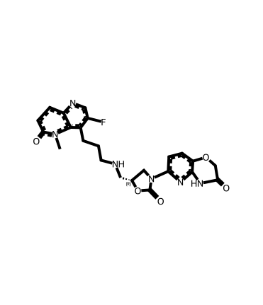 Cn1c(=O)ccc2ncc(F)c(CCCNC[C@@H]3CN(c4ccc5c(n4)NC(=O)CO5)C(=O)O3)c21